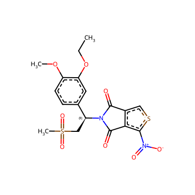 CCOc1cc([C@H](CS(C)(=O)=O)N2C(=O)c3csc([N+](=O)[O-])c3C2=O)ccc1OC